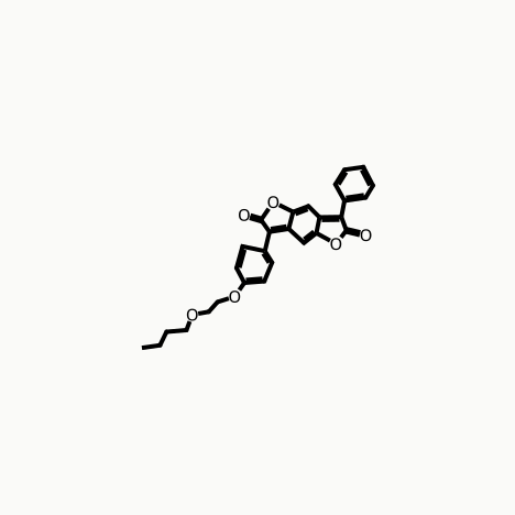 CCCCOCCOc1ccc(C2=c3cc4c(cc3OC2=O)=C(c2ccccc2)C(=O)O4)cc1